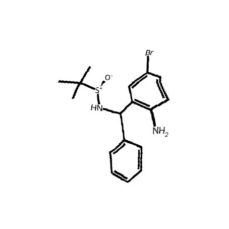 CC(C)(C)[S@@+]([O-])NC(c1ccccc1)c1cc(Br)ccc1N